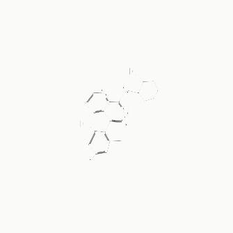 Cc1cc(Cl)cc(O)c1-c1nnc(NC2CCCCC2O)c2ncccc12